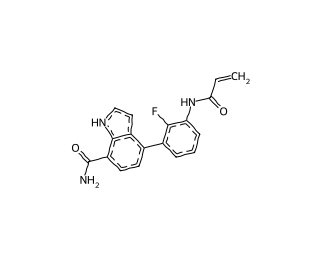 C=CC(=O)Nc1cccc(-c2ccc(C(N)=O)c3[nH]ccc23)c1F